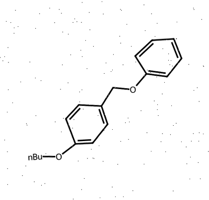 CCCCOc1ccc(COc2cc[c]cc2)cc1